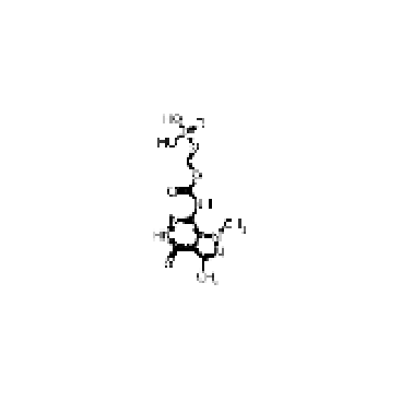 Cc1nn(C)c2c(NC(=O)OCOP(=O)(O)O)n[nH]c(=O)c12